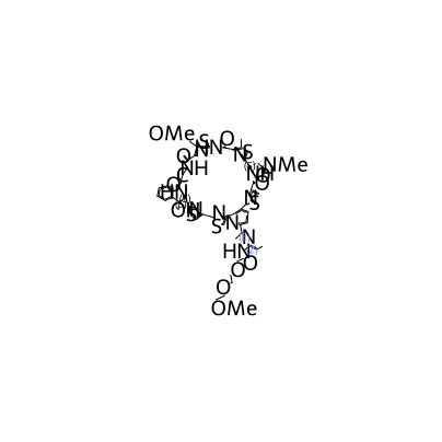 C/C=C(\N=C(/C)c1ccc2c(n1)-c1csc(n1)-c1csc(n1)[C@H]([C@@H](O)c1ccccc1)NC(=O)CNC(=O)c1nc(sc1COC)NC(=O)c1nc(sc1C)[C@H](CC(=O)NC)NC(=O)c1csc-2n1)NC(=O)COCCOCCOC